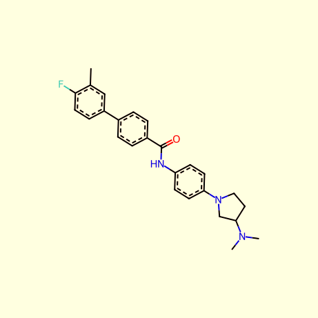 Cc1cc(-c2ccc(C(=O)Nc3ccc(N4CCC(N(C)C)C4)cc3)cc2)ccc1F